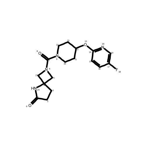 O=C1CCC2(CN(C(=O)N3CCC(Oc4ccc(F)cn4)CC3)C2)N1